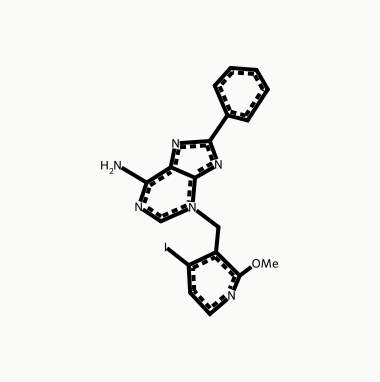 COc1nccc(I)c1Cn1cnc(N)c2nc(-c3ccccc3)nc1-2